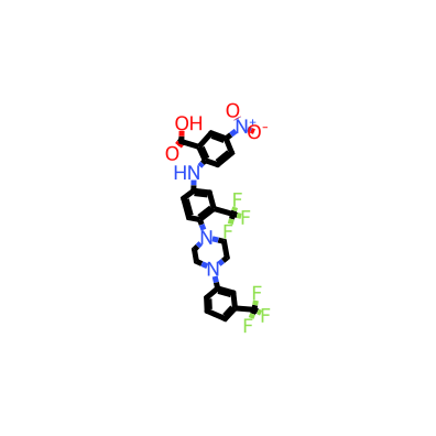 O=C(O)c1cc([N+](=O)[O-])ccc1Nc1ccc(N2CCN(c3cccc(C(F)(F)F)c3)CC2)c(C(F)(F)F)c1